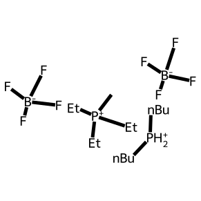 CCCC[PH2+]CCCC.CC[P+](C)(CC)CC.F[B-](F)(F)F.F[B-](F)(F)F